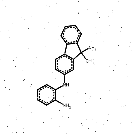 CC1(C)c2ccccc2-c2ccc(Nc3ccccc3N)cc21